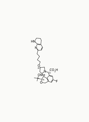 COC(C)(C)[C@H]1Cc2c(cc(F)cc2[C@@H](C(=O)O)N2CC[C@@H](OCCCCc3ccc4c(n3)NCCC4)C2)CO1